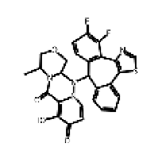 CC1COCC2N1C(=O)c1c(O)c(=O)ccn1N2C1c2ccccc2-c2scnc2-c2c1ccc(F)c2F